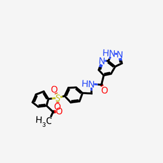 CC(=O)c1ccccc1S(=O)(=O)c1ccc(CNC(=O)c2cnc3[nH]ncc3c2)cc1